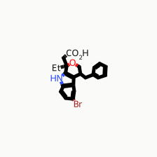 CCC1(CC(=O)O)OCC(Cc2ccccc2)c2c1[nH]c1ccc(Br)cc21